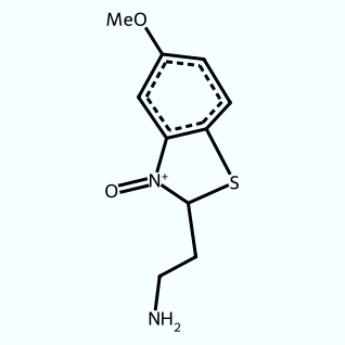 COc1ccc2c(c1)[N+](=O)C(CCN)S2